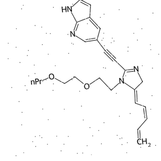 C=C/C=C\C=C1/CN=C(C#Cc2cnc3[nH]ccc3c2)N1CCOCCOCCC